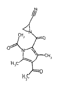 CC(=O)c1c(C)c(C(=O)N2CC2C#N)n(C(C)=O)c1C